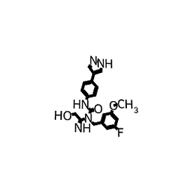 COc1cc(F)cc(CN(C(=N)CO)C(=O)Nc2ccc(-c3cn[nH]c3)cc2)c1